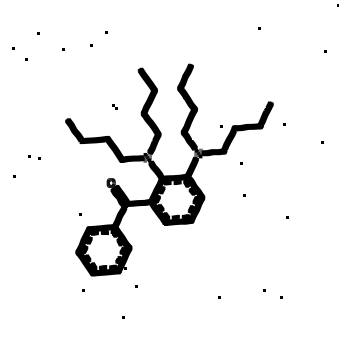 CCCCN(CCCC)c1cccc(C(=O)c2ccccc2)c1N(CCCC)CCCC